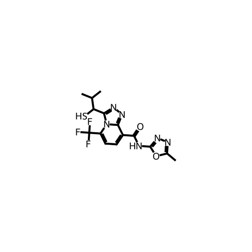 Cc1nnc(NC(=O)c2ccc(C(F)(F)F)n3c(C(S)C(C)C)nnc23)o1